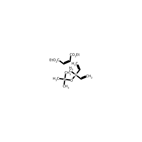 C=C[Si](C)(C=C)O[Si](C)(C)C.CCOC(=O)/C=C\C(=O)OCC